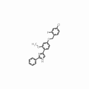 COc1cc(OCc2ccc(Cl)cc2F)ccc1-c1c[nH]c(-c2ccccc2)n1